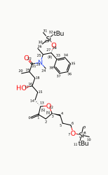 C=C1C[C@H](CCCO[Si](C)(C)C(C)(C)C)O[C@H]1CCC(O)CC(C)C(=O)N(C)C(C)[C@H](O[Si](C)(C)C(C)(C)C)c1ccccc1